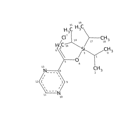 CC(C)[Si](O/C(=C\Cl)c1cnccn1)(C(C)C)C(C)C